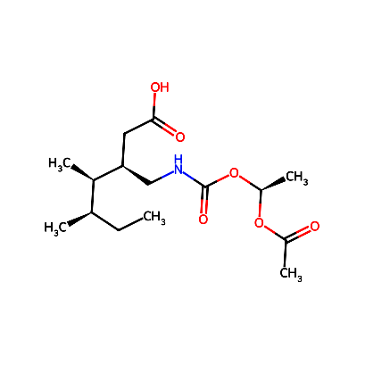 CC[C@@H](C)[C@@H](C)[C@H](CNC(=O)O[C@@H](C)OC(C)=O)CC(=O)O